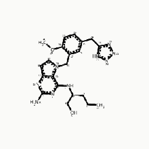 CCC[C@@H](CO)Nc1nc(N)nc2ccn(Cc3cc(Cc4nnn[nH]4)ccc3OC)c12